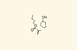 C=C(C)C(=O)OCCCC.OC1CCCCC1